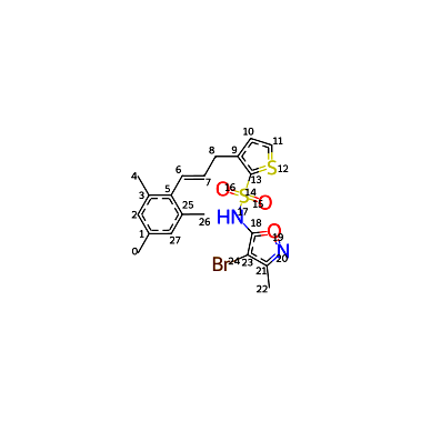 Cc1cc(C)c(C=CCc2ccsc2S(=O)(=O)Nc2onc(C)c2Br)c(C)c1